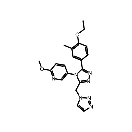 CCOc1ccc(-c2nnc(Cn3ccnn3)n2-c2ccc(OC)nc2)cc1C